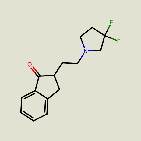 O=C1c2ccccc2CC1CCN1CCC(F)(F)C1